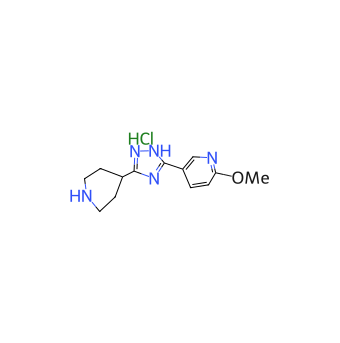 COc1ccc(-c2nc(C3CCNCC3)n[nH]2)cn1.Cl